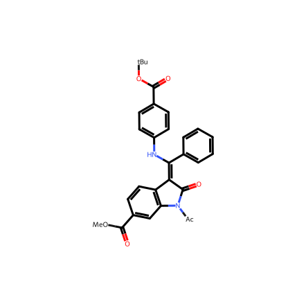 COC(=O)c1ccc2c(c1)N(C(C)=O)C(=O)C2=C(Nc1ccc(C(=O)OC(C)(C)C)cc1)c1ccccc1